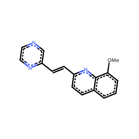 COc1cccc2ccc(/C=C/c3cnccn3)nc12